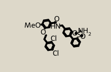 COc1ccc(C(=O)NCc2ccc(-c3ccccc3S(N)(=O)=O)cc2)cc1OCCc1ccc(Cl)cc1Cl